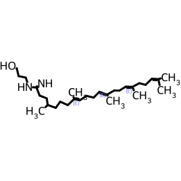 CC(C)=CCC/C(C)=C/CC/C(C)=C/CC/C=C(\C)CCCC(C)CCC(=N)NCCCO